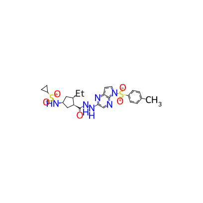 CC[C@@H]1C[C@H](NS(=O)(=O)C2CC2)C[C@@H]1C(=O)NNc1cnc2c(ccn2S(=O)(=O)c2ccc(C)cc2)n1